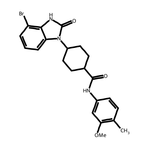 COc1cc(NC(=O)C2CCC(n3c(=O)[nH]c4c(Br)cccc43)CC2)ccc1C